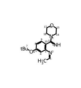 C/C=N\c1cc(OC(C)(C)C)ccc1C(=N)N1CCOCC1